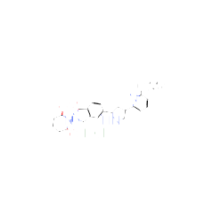 COc1cccc(C2CNC(c3ccc4c(c3)CN(N3C(=O)CCCC3=O)C4=O)C2)n1.Cl